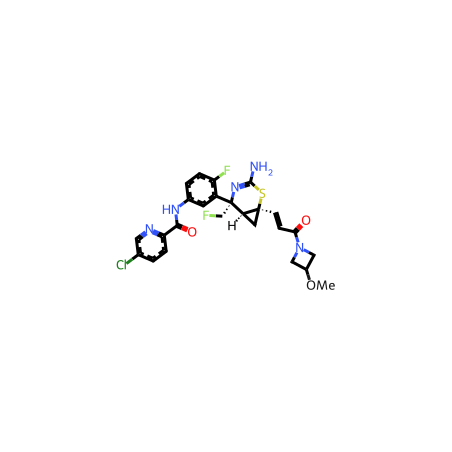 COC1CN(C(=O)/C=C/[C@]23C[C@H]2[C@@](CF)(c2cc(NC(=O)c4ccc(Cl)cn4)ccc2F)N=C(N)S3)C1